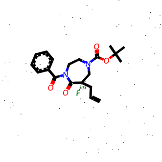 C=CC[C@]1(F)CN(C(=O)OC(C)(C)C)CCN(C(=O)c2ccccc2)C1=O